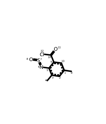 Cc1cc(C)c(N=S=O)c(C(=O)Cl)c1